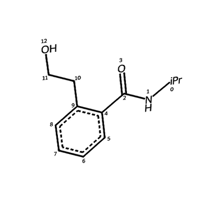 CC(C)NC(=O)c1ccccc1CCO